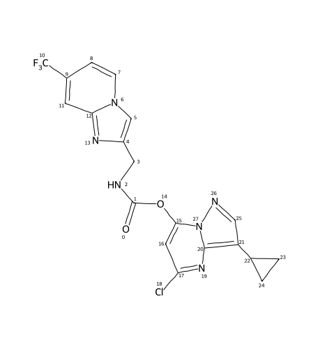 O=C(NCc1cn2ccc(C(F)(F)F)cc2n1)Oc1cc(Cl)nc2c(C3CC3)cnn12